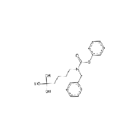 O=C(Oc1ccccc1)N(CCCCC(O)(O)O)Cc1ccccc1